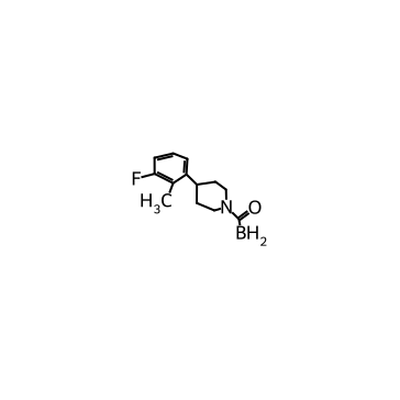 BC(=O)N1CCC(c2cccc(F)c2C)CC1